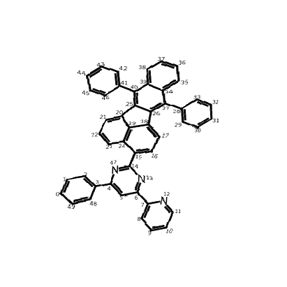 c1ccc(-c2cc(-c3ccccn3)nc(-c3ccc4c5c(cccc35)-c3c-4c(-c4ccccc4)c4ccccc4c3-c3ccccc3)n2)cc1